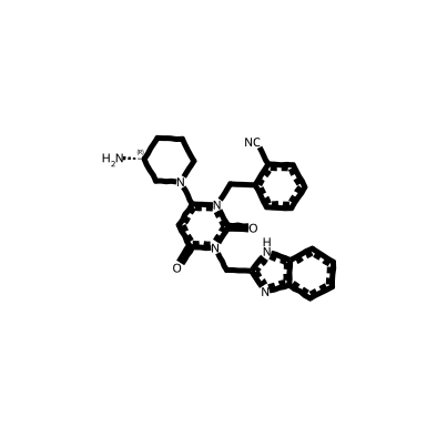 N#Cc1ccccc1Cn1c(N2CCC[C@@H](N)C2)cc(=O)n(Cc2nc3ccccc3[nH]2)c1=O